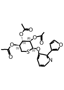 CC(=O)O[C@@H]1[C@@H](OC(C)=O)[C@@H](Oc2cccnc2-c2ccoc2)SC[C@H]1OC(C)=O